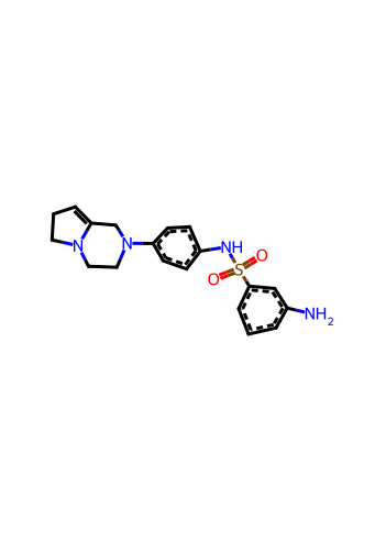 Nc1cccc(S(=O)(=O)Nc2ccc(N3CCN4CCC=C4C3)cc2)c1